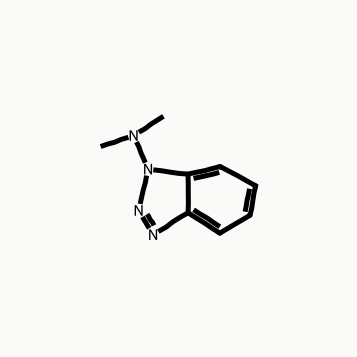 CN(C)n1nnc2ccccc21